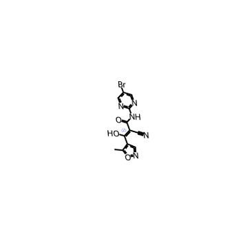 Cc1oncc1/C(O)=C(\C#N)C(=O)Nc1ncc(Br)cn1